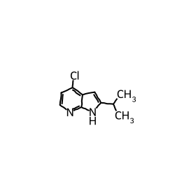 CC(C)c1cc2c(Cl)ccnc2[nH]1